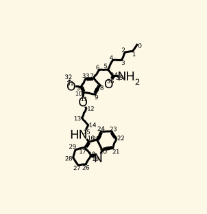 CCCCCC(Cc1ccc(OCCCNc2c3c(nc4ccccc24)CCCC3)c(OC)c1)C(N)=O